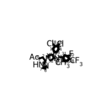 CC(=O)CCC(c1ncc[nH]1)N1C[C@H](c2ccc(Cl)c(Cl)c2)[C@H](N(C)Cc2ccc(C(F)(F)F)c(F)c2)C1